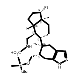 CC[C@H]1CC[C@H]2[C@H](CNC(=O)O)[C@@H]([C@@]3(C)Cc4cn[nH]c4C[C@@H]3CO[Si](C)(C)C(C)(C)C)CC[C@]12C